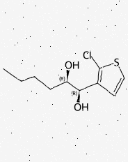 CCCC[C@@H](O)[C@H](O)c1ccsc1Cl